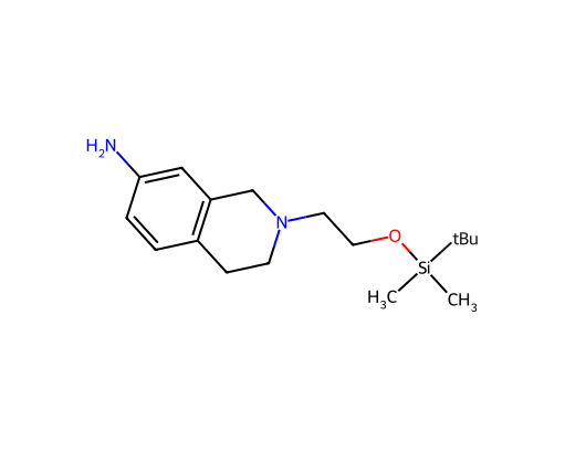 CC(C)(C)[Si](C)(C)OCCN1CCc2ccc(N)cc2C1